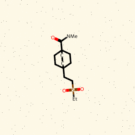 CCS(=O)(=O)CCC12CCC(C(=O)NC)(CC1)CC2